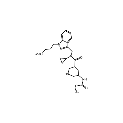 COCCCn1cc(CN(C(=O)C2CNCC(NC(=O)OC(C)(C)C)C2)C2CC2)c2ccccc21